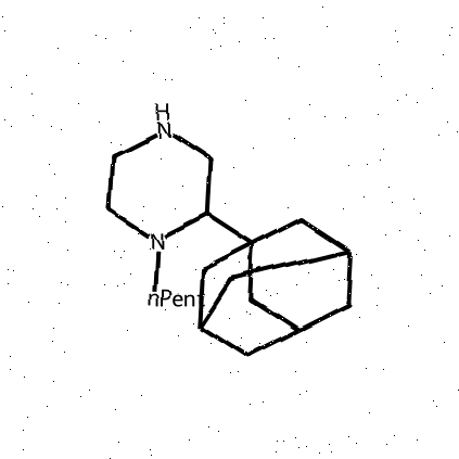 CCCCCN1CCNCC1C12CC3CC(CC(C3)C1)C2